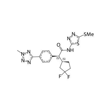 CSc1nnc(NC(=O)[C@H](c2ccc(-c3nnn(C)n3)cc2)[C@H]2CCC(F)(F)C2)s1